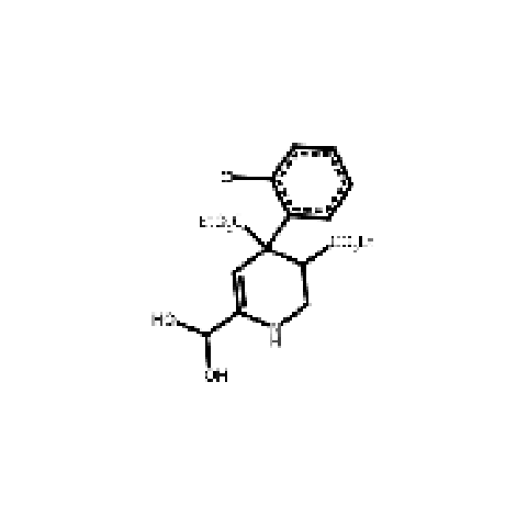 CCOC(=O)C1CNC(C(O)O)=CC1(C(=O)OCC)c1ccccc1Cl